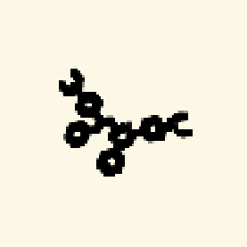 CCN(CC)c1ccc(C(=CC2=CN(c3ccccc3)CC(c3ccc(N(CC)CC)cc3)=N2)Cc2ccccc2)cc1